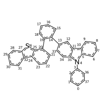 c1ccc(-n2c3ccccc3c3cc(-c4ccccc4-c4cccc5c4sc4ccccc45)ccc32)cc1